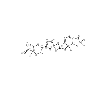 CC1(C)CC2C(=CC=CC2(C)CN2CC3(CC(N4CCC(C)(C(=O)O)CC4)=NO3)C2)O1